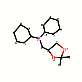 CC1(C)O[CH]C(CP(C2CCCCC2)C2CCCCC2)O1